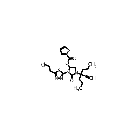 C#CC(CCC)(CCC)N1CC(OC(=O)c2cccs2)N(c2nnc(CCCl)s2)C1=O